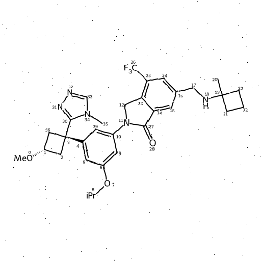 CO[C@H]1C[C@@](c2cc(OC(C)C)cc(N3Cc4c(cc(CNC5(C)CCC5)cc4C(F)(F)F)C3=O)c2)(c2nncn2C)C1